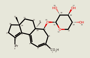 CC(C)C1=C2C3=CC=C(C(=O)O)C[C@H](O[C@@H]4OC[C@@H](O)[C@H](O)[C@H]4O)[C@]3(C)CC[C@@]2(C)CC1